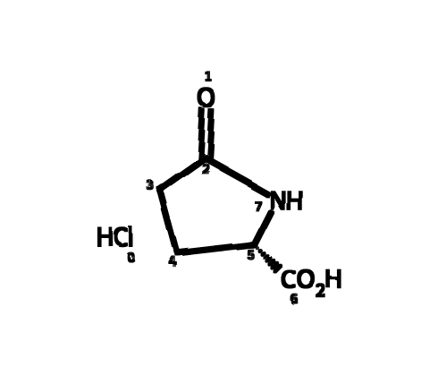 Cl.O=C1CC[C@@H](C(=O)O)N1